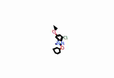 Cn1c(OC2CCCCC2)nc2c(Cl)cc(OC3CC3)cc21